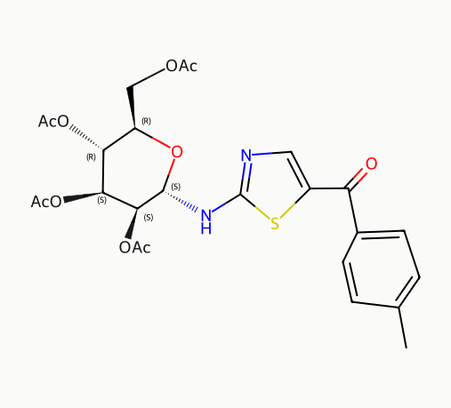 CC(=O)OC[C@H]1O[C@H](Nc2ncc(C(=O)c3ccc(C)cc3)s2)[C@@H](OC(C)=O)[C@@H](OC(C)=O)[C@@H]1OC(C)=O